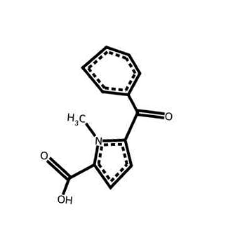 Cn1c(C(=O)O)ccc1C(=O)c1ccccc1